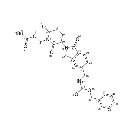 CC(C)(C)C(=O)OCN1C(=O)CCC(N2Cc3cc(CNC(=O)OCc4ccccc4)ccc3C2=O)C1=O